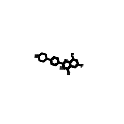 O=c1[nH]c(-c2ccc(C3CCNCC3)cc2)nc2c(F)cc(F)cc12